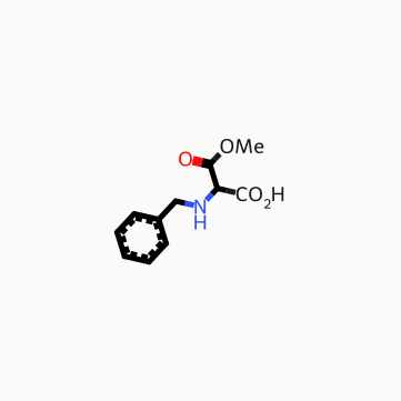 COC(=O)C(NCc1ccccc1)C(=O)O